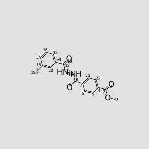 COC(=O)c1ccc(C(=O)NNC(=O)c2cccc(I)c2)cc1